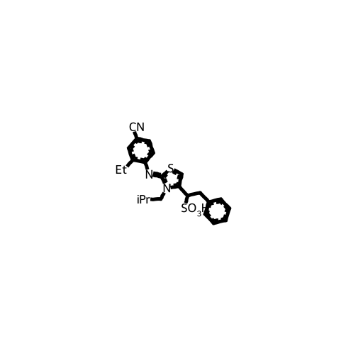 CCc1cc(C#N)ccc1N=c1scc(C(Cc2ccccc2)S(=O)(=O)O)n1CC(C)C